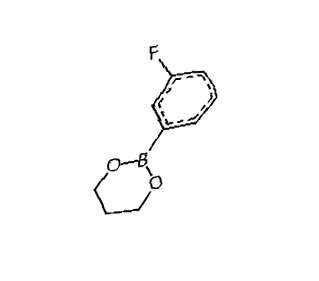 Fc1cccc(B2OCCCO2)c1